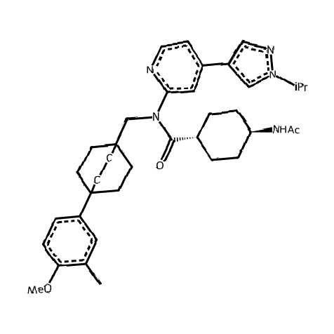 COc1ccc(C23CCC(CN(c4cc(-c5cnn(C(C)C)c5)ccn4)C(=O)[C@H]4CC[C@H](NC(C)=O)CC4)(CC2)CC3)cc1C